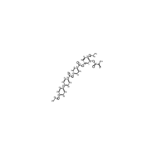 C=C(F)C(=O)Oc1cc(OC(=O)c2ccc(OC(=O)c3ccc(-c4ccc(OCC)cc4)cc3)cc2)ccc1OCC